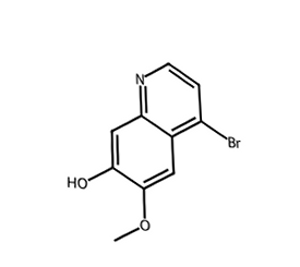 COc1cc2c(Br)ccnc2cc1O